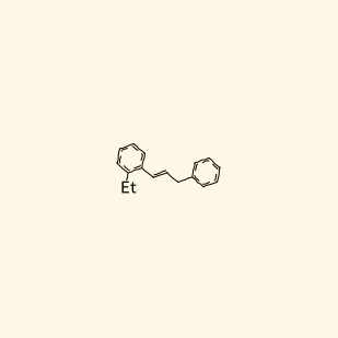 CCc1ccccc1C=CCc1ccccc1